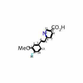 COc1cc(/C=C/c2ccc(C(=O)O)cn2)ccc1F